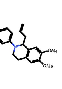 C=CCC1c2cc(OC)c(OC)cc2CCN1c1ccccc1